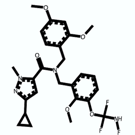 COc1ccc(CN(Cc2cccc(OC(F)(F)NF)c2OC)C(=O)c2cc(C3CC3)nn2C)c(OC)c1